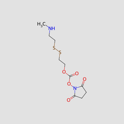 CNCCSSCCOC(=O)ON1C(=O)CCC1=O